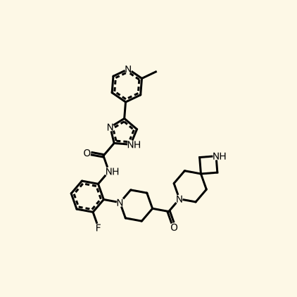 Cc1cc(-c2c[nH]c(C(=O)Nc3cccc(F)c3N3CCC(C(=O)N4CCC5(CC4)CNC5)CC3)n2)ccn1